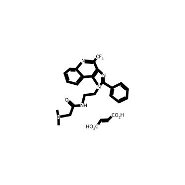 CN(C)CC(=O)NCCn1c(-c2ccccc2)nc2c(C(F)(F)F)nc3ccccc3c21.O=C(O)C=CC(=O)O